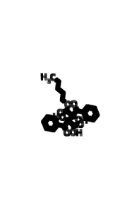 CCCCCOC(=O)C(O)(C(=O)c1ccccc1)C(O)(C(=O)O)C(=O)c1ccccc1